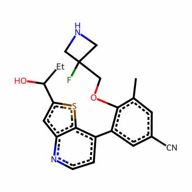 CCC(O)c1cc2nccc(-c3cc(C#N)cc(C)c3OCC3(F)CNC3)c2s1